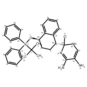 CC(C)(C)[Si](O[C@@H]1CC[C@@H](C2(Cl)N=C(N)C(N)=CN2)c2ccccc21)(c1ccccc1)c1ccccc1